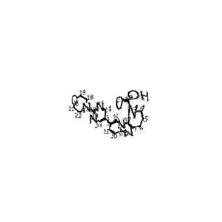 O=C(O)N1CCCc2nc3ccc(-c4cnc(N5CCOCC5)nc4)cn3c21